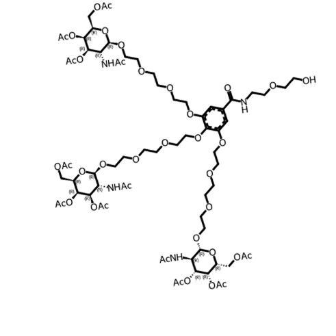 CC(=O)N[C@H]1[C@H](OCCOCCOCCOc2cc(C(=O)NCCOCCO)cc(OCCOCCOCCO[C@@H]3O[C@H](COC(C)=O)[C@H](OC(C)=O)[C@H](OC(C)=O)[C@H]3NC(C)=O)c2OCCOCCOCCO[C@@H]2O[C@H](COC(C)=O)[C@H](OC(C)=O)[C@H](OC(C)=O)[C@H]2NC(C)=O)O[C@H](COC(C)=O)[C@H](OC(C)=O)[C@@H]1OC(C)=O